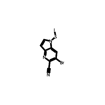 N#Cc1nc2ccn(SI)c2cc1Br